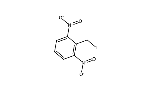 O=[N+]([O-])c1cccc([N+](=O)[O-])c1CI